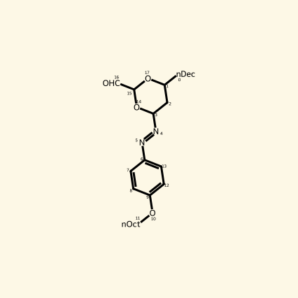 CCCCCCCCCCC1CC(N=Nc2ccc(OCCCCCCCC)cc2)OC(C=O)O1